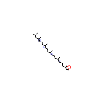 CC(C)=C/C(C)=C/CC/C(C)=C/CC/C(C)=C/CC/C(C)=C/CCc1ccoc1